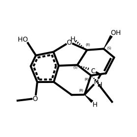 COc1cc(O)c2c3c1C[C@@H]1[C@@H]4C=C[C@H](O)[C@H](O2)[C@]34CCN1C